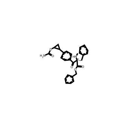 CN[C@@](Cc1ccccc1)(C(=O)OCc1ccccc1)C(=O)c1ccc(C2CC2OC(N)=O)cc1